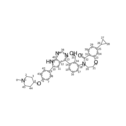 CN1CCC(Oc2ccc(-c3cc4c(-c5cccc(N6CCOc7cc(C8CC8)ccc7C6=O)c5CO)ncnc4[nH]3)cc2)CC1